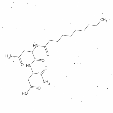 CCCCCCCCCC(=O)NC(CC(N)=O)C(=O)NC(CC(=O)O)C(N)=O